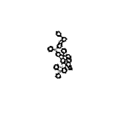 c1ccc(-c2cccc3c2sc2cc(N(c4ccccc4)c4ccc5c(c4)C(c4ccccc4)(c4ccccc4)c4cc6c(cc4-5)Oc4c(N(c5ccccc5)c5ccccc5)cccc4C64c5ccccc5-c5ccccc54)ccc23)cc1